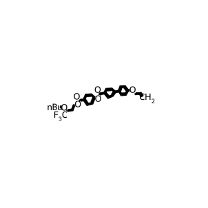 C=CCOc1ccc(-c2ccc(C(=O)Oc3ccc(C(=O)OCCC(OCCCC)C(F)(F)F)cc3)cc2)cc1